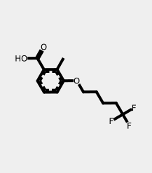 Cc1c(OCCCCC(F)(F)F)cccc1C(=O)O